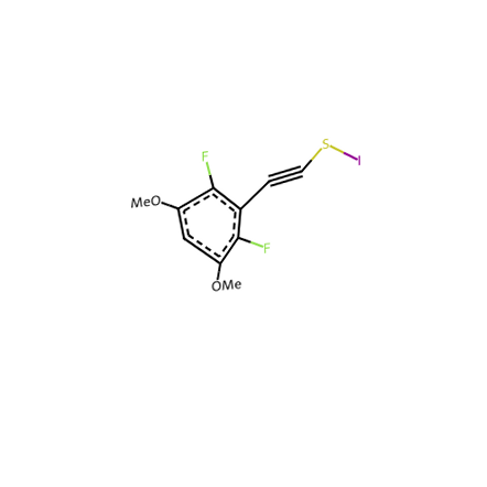 COc1cc(OC)c(F)c(C#CSI)c1F